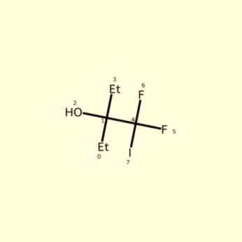 CCC(O)(CC)C(F)(F)I